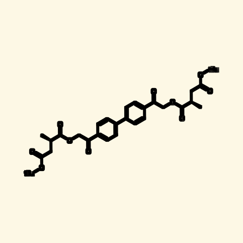 C[C@H](CC(=O)OC(C)(C)C)C(=O)OCC(=O)c1ccc(-c2ccc(C(=O)COC(=O)[C@H](C)CC(=O)OC(C)(C)C)cc2)cc1